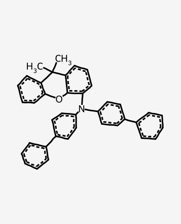 CC1(C)c2ccccc2Oc2c(N(c3ccc(-c4ccccc4)cc3)c3ccc(-c4ccccc4)cc3)cccc21